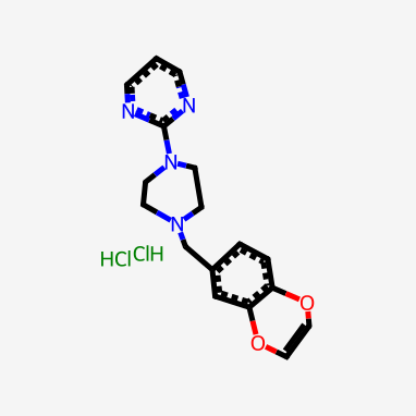 C1=COc2cc(CN3CCN(c4ncccn4)CC3)ccc2O1.Cl.Cl